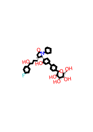 O=C1C[C@@H](CCC[C@@H](O)c2ccc(F)cc2)[C@@H](c2ccc(-c3ccc(C4O[C@H](CO)[C@@H](O)[C@H](O)[C@H]4O)cc3)cc2O)N1c1ccccc1